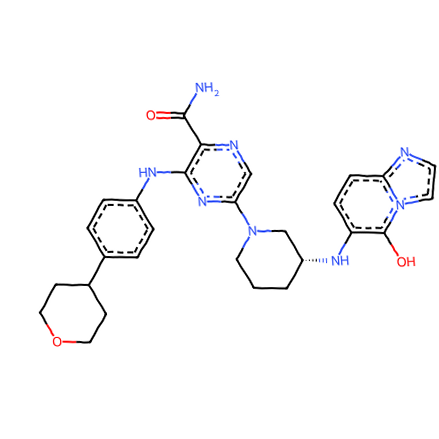 NC(=O)c1ncc(N2CCC[C@@H](Nc3ccc4nccn4c3O)C2)nc1Nc1ccc(C2CCOCC2)cc1